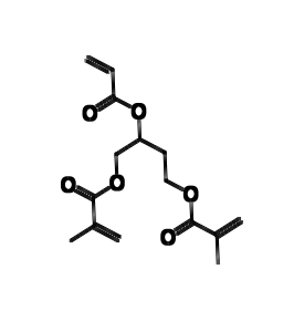 C=CC(=O)OC(CCOC(=O)C(=C)C)COC(=O)C(=C)C